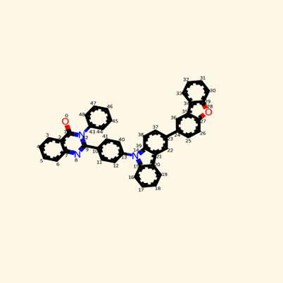 O=c1c2ccccc2nc(-c2ccc(-n3c4ccccc4c4cc(-c5ccc6oc7ccccc7c6c5)ccc43)cc2)n1-c1ccccc1